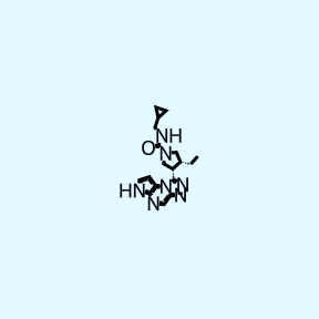 CC[C@H]1CN(C(=O)NCC2CC2)C[C@H]1c1nnc2cnc3[nH]ccc3n12